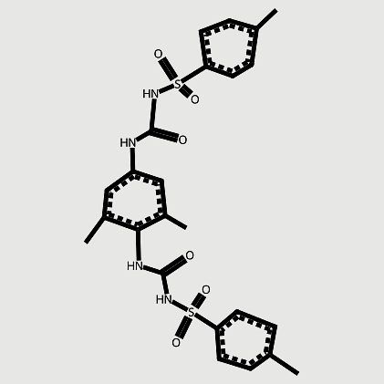 Cc1ccc(S(=O)(=O)NC(=O)Nc2cc(C)c(NC(=O)NS(=O)(=O)c3ccc(C)cc3)c(C)c2)cc1